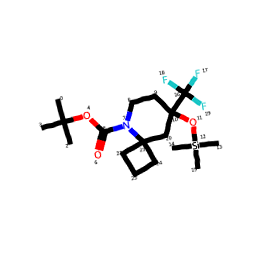 CC(C)(C)OC(=O)N1CCC(O[Si](C)(C)C)(C(F)(F)F)CC12CCC2